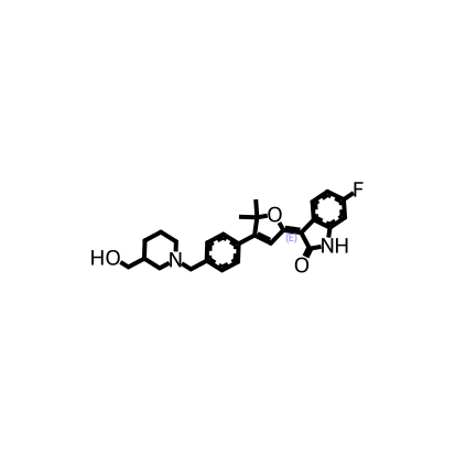 CC1(C)O/C(=C2/C(=O)Nc3cc(F)ccc32)C=C1c1ccc(CN2CCCC(CO)C2)cc1